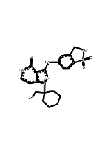 N#CCC1(n2nc(Nc3ccc4c(c3)CNS4(=O)=O)c3c(=O)[nH]ccc32)CCCCC1